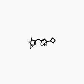 Cn1cc(Cc2cc(C3CCC3)no2)c(I)n1